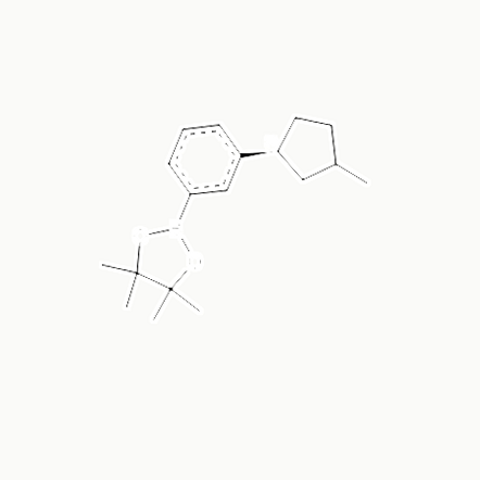 CC1CC[C@H](c2cccc(B3OC(C)(C)C(C)(C)O3)c2)C1